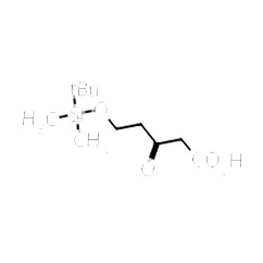 CC(C)(C)[Si](C)(C)OCCC(=O)CC(=O)O